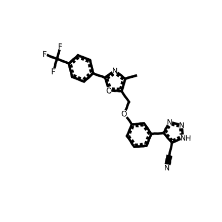 Cc1nc(-c2ccc(C(F)(F)F)cc2)oc1COc1cccc(-c2nn[nH]c2C#N)c1